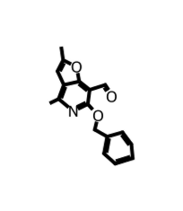 Cc1cc2c(C)nc(OCc3ccccc3)c(C=O)c2o1